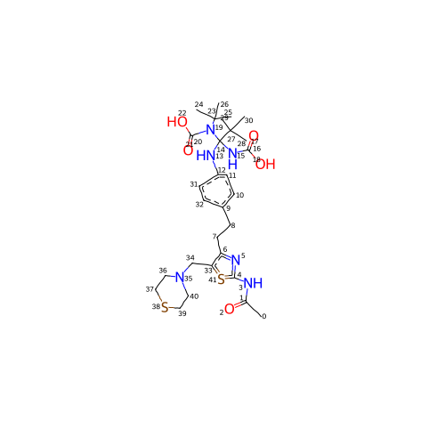 CC(=O)Nc1nc(CCc2ccc(NC(NC(=O)O)(N(C(=O)O)C(C)(C)C)C(C)(C)C)cc2)c(CN2CCSCC2)s1